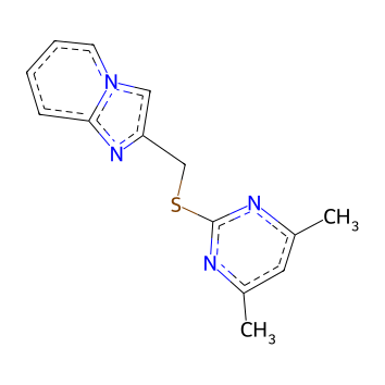 Cc1cc(C)nc(SCc2cn3ccccc3n2)n1